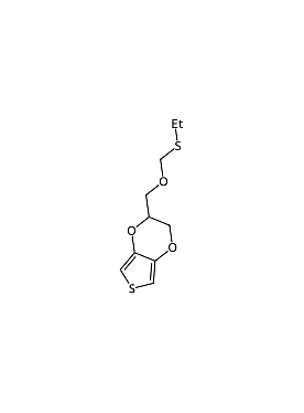 CCSCOCC1COc2cscc2O1